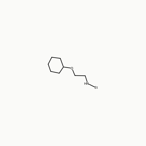 CCNCCOC1CCCCC1